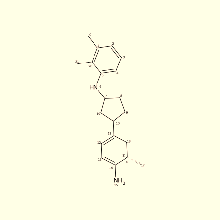 Cc1cccc(NC2CCC(C3=CC=C(N)[C@@H](C)C3)C2)c1C